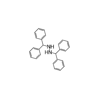 c1ccc(C(NNC(c2ccccc2)c2ccccc2)c2ccccc2)cc1